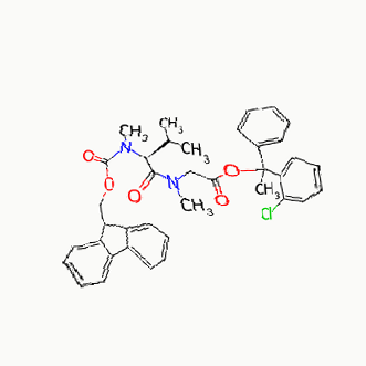 CC(C)[C@@H](C(=O)N(C)CC(=O)OC(C)(c1ccccc1)c1ccccc1Cl)N(C)C(=O)OCC1c2ccccc2-c2ccccc21